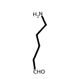 NCCCCC=O